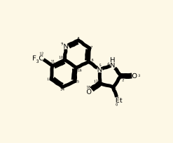 CCC1C(=O)NN(c2ccnc3c(C(F)(F)F)cccc23)C1=O